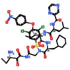 CC[C@H](N)C(=O)C(=O)NC(=O)CN(C(=O)[C@H](CC1CCCCC1)NC(=O)[C@@H](NC(=O)[C@H](CC(C)C)NC(=O)c1cnccn1)[C@@H](C)CC)S(=O)(=O)c1cc(Cl)c(Oc2ccc([N+](=O)[O-])cc2)c(Cl)c1